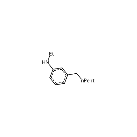 CCCCCCc1cccc(NCC)c1